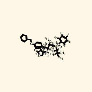 [2H]CC([2H])(C)C([2H])([2H])N(C([2H])([2H])[C@@]([2H])(O[2H])[C@@]([2H])(N(C(=O)O)C1CO[C@@H]2OC=C[C@@H]12)C([2H])([2H])c1ccc(OCc2ccccc2)cc1)S(=O)(=O)c1c([2H])c([2H])c(F)c(F)c1[2H]